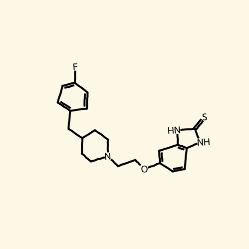 Fc1ccc(CC2CCN(CCOc3ccc4[nH]c(=S)[nH]c4c3)CC2)cc1